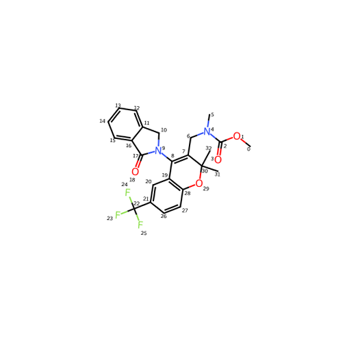 COC(=O)N(C)CC1=C(N2Cc3ccccc3C2=O)c2cc(C(F)(F)F)ccc2OC1(C)C